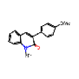 CCCn1c(=O)c(-c2ccc(OC)cc2)cc2ccccc21